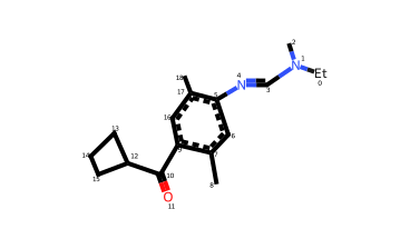 CCN(C)C=Nc1cc(C)c(C(=O)C2CCC2)cc1C